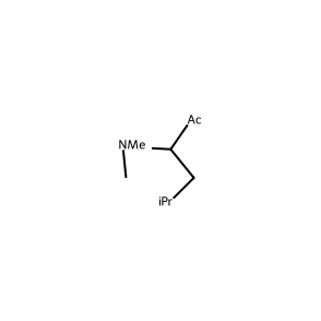 CC(=O)C(C)CC(C)C.CNC